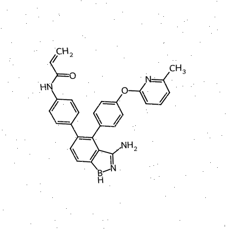 C=CC(=O)Nc1ccc(-c2ccc3c(c2-c2ccc(Oc4cccc(C)n4)cc2)C(N)=NB3)cc1